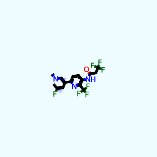 C=N/C=C(\C=C(/C)F)c1ccc(NC(=O)CC(F)(F)F)c(C(F)(F)F)n1